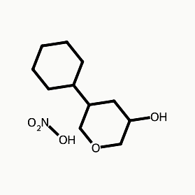 O=[N+]([O-])O.OC1COCC(C2CCCCC2)C1